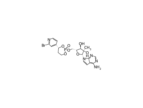 C[C@@]1(O)[C@H](O)[C@@H](CO[P@@]2(=O)OCC[C@H](c3ccnc(Br)c3)O2)O[C@H]1n1ccc2c(N)ncnc21